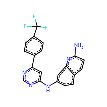 Nc1ccc2ccc(Nc3cc(-c4ccc(C(F)(F)F)cc4)ncn3)cc2n1